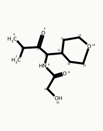 CC(C)C(=O)C(NC(=O)CO)C1CCOCC1